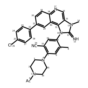 CC(=O)N1CCN(c2cc(C)c(-n3c(=N)n(C)c4cnc5ccc(-c6ccc(Cl)cc6)cc5c43)cc2C#N)CC1